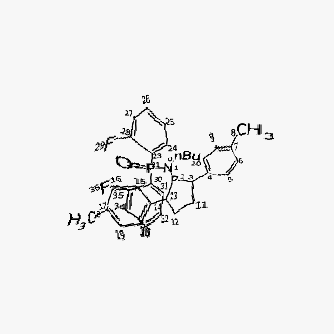 CCCCN(P1C(c2ccc(C)cc2)CCC1c1ccc(C)cc1)P(=O)(c1ccccc1F)c1ccccc1F